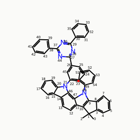 CC1(C)c2ccccc2-c2c1c1ccc3c4ccccc4n(-c4cccc(-c5nc(-c6ccccc6)nc(-c6ccccc6)n5)c4)c3c1n2-c1ccccc1